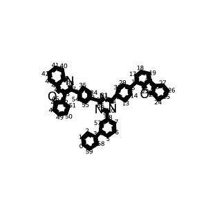 c1ccc(-c2cccc(-c3nc(-c4ccc(-c5cccc6c5oc5ccccc56)cc4)nc(-c4ccc(-c5nc6ccccc6c6oc7ccccc7c56)cc4)n3)c2)cc1